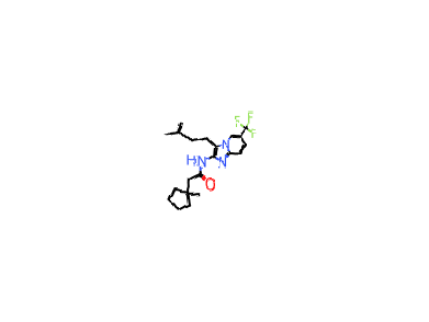 CC(C)CCc1c(NC(=O)CC2(C)CCCC2)nc2ccc(C(F)(F)F)cn12